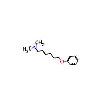 CN(C)CCCCCCOc1c[c]ccc1